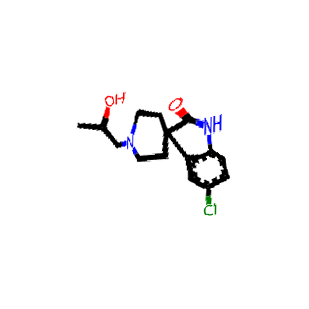 CC(O)CN1CCC2(CC1)C(=O)Nc1ccc(Cl)cc12